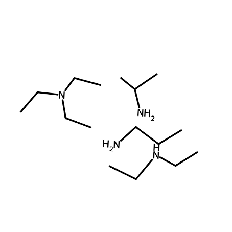 CC(C)N.CCCN.CCN(CC)CC.CCNCC